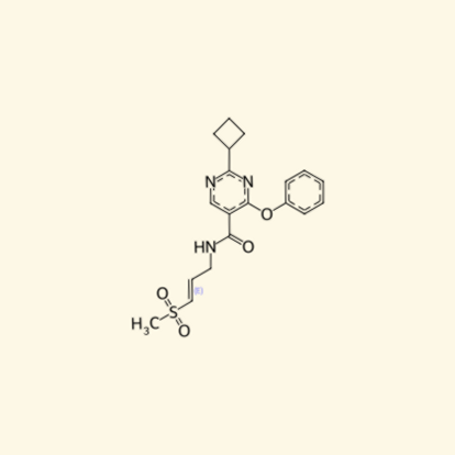 CS(=O)(=O)/C=C/CNC(=O)c1cnc(C2CCC2)nc1Oc1ccccc1